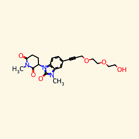 CN1C(=O)CCC(n2c(=O)n(C)c3cc(C#CCOCCOCCO)ccc32)C1=O